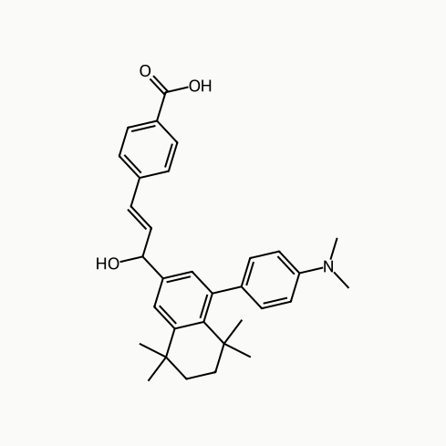 CN(C)c1ccc(-c2cc(C(O)C=Cc3ccc(C(=O)O)cc3)cc3c2C(C)(C)CCC3(C)C)cc1